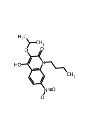 CCCCn1c(=O)c(OC(C)C)c(O)c2ccc([N+](=O)[O-])cc21